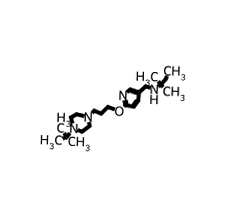 CCC(C)(C)NCc1ccc(OCCCN2CCN(C(C)(C)C)CC2)nc1